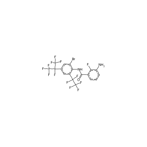 Nc1cccc(C(=O)Nc2c(Br)cc(C(F)(C(F)(F)F)C(F)(F)F)cc2C(F)(F)C(F)(F)F)c1F